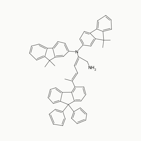 C/C(=C\C=C(/CN)N(c1ccc2c(c1)C(C)(C)c1ccccc1-2)c1ccc2c(c1)C(C)(C)c1ccccc1-2)c1cccc2c1-c1ccccc1C2(c1ccccc1)c1ccccc1